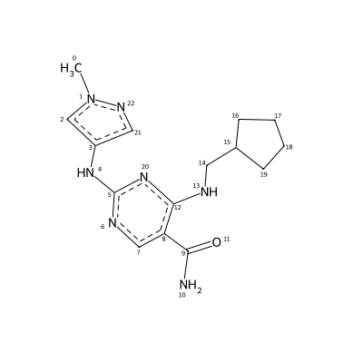 Cn1cc(Nc2ncc(C(N)=O)c(NCC3CCCC3)n2)cn1